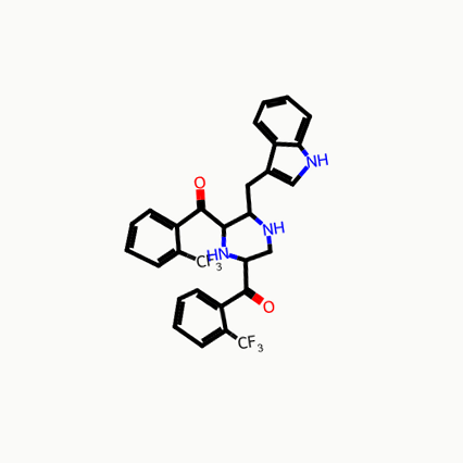 O=C(c1ccccc1C(F)(F)F)C1CNC(Cc2c[nH]c3ccccc23)C(C(=O)c2ccccc2C(F)(F)F)N1